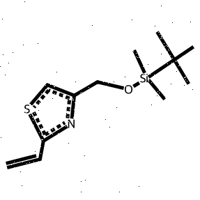 C=Cc1nc(CO[Si](C)(C)C(C)(C)C)cs1